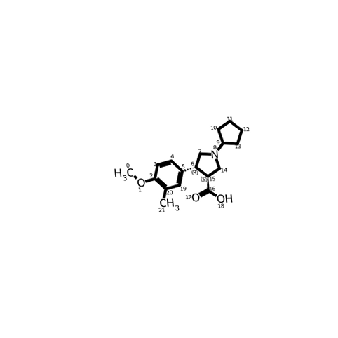 COc1ccc([C@@H]2CN(C3CCCC3)C[C@H]2C(=O)O)cc1C